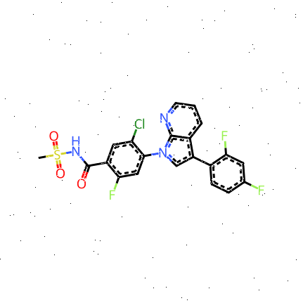 CS(=O)(=O)NC(=O)c1cc(Cl)c(-n2cc(-c3ccc(F)cc3F)c3cccnc32)cc1F